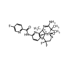 CC1(C)C(N)=N[C@](C)(c2nc(NC(=O)c3ccc(F)cn3)ccc2F)[C@H]2CC(F)(F)CN=[S@@]21=O